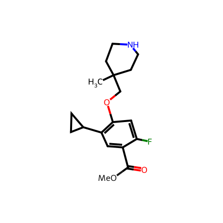 COC(=O)c1cc(C2CC2)c(OCC2(C)CCNCC2)cc1F